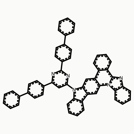 c1ccc(-c2ccc(-c3cc(-n4c5ccccc5c5cc6c(cc54)c4ccccc4c4nc5ccccc5n64)nc(-c4ccc(-c5ccccc5)cc4)n3)cc2)cc1